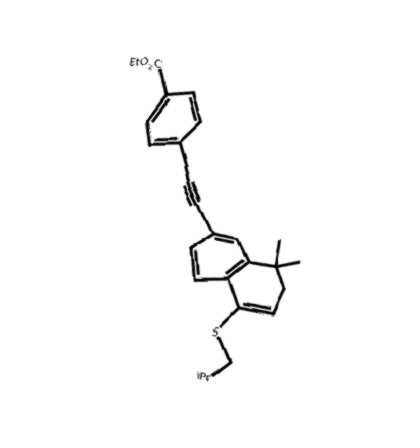 CCOC(=O)c1ccc(C#Cc2ccc3c(c2)C(C)(C)CC=C3SCC(C)C)cc1